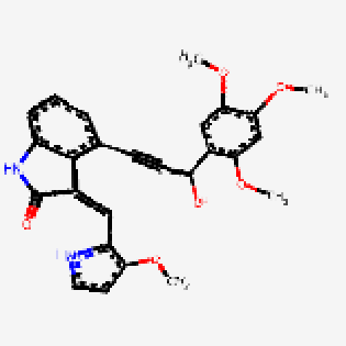 COc1cc(OC)c(C(O)C#Cc2cccc3c2/C(=C/c2[nH]ccc2OC)C(=O)N3)cc1OC